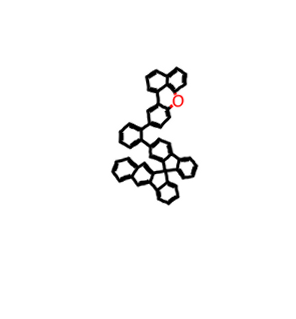 c1ccc(-c2ccc3c(c2)C2(c4ccccc4-3)c3ccccc3-c3cc4ccccc4cc32)c(-c2ccc3c(c2)-c2cccc4cccc(c24)O3)c1